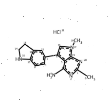 Cc1nc(N)c2c(-c3ccc4c(c3)CCN4)cn(C)c2n1.Cl